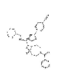 N#Cc1ccc(-c2ccc(C3(CC(=O)NOC4CCCCO4)CCN(C(=O)c4ccccc4)CCS3(=O)=O)s2)cc1